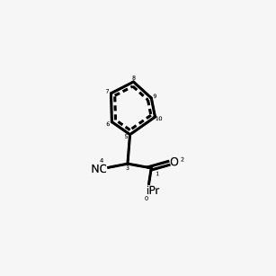 CC(C)C(=O)C(C#N)c1ccccc1